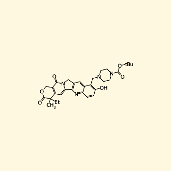 CCC1(C)C(=O)OCc2c1cc1n(c2=O)Cc2cc3c(CN4CCN(C(=O)OC(C)(C)C)CC4)c(O)ccc3nc2-1